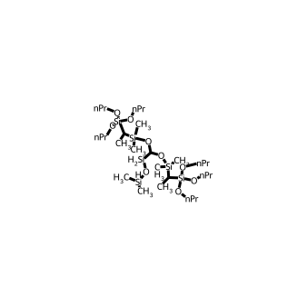 CCCO[Si](OCCC)(OCCC)C(C)[Si](C)(C)OC(O[Si](C)(C)C(C)[Si](OCCC)(OCCC)OCCC)[SiH2]O[SiH](C)C